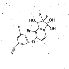 N#Cc1cc(F)cc(Oc2ccc3c(c2Br)C(O)C(F)(F)S3(O)O)c1